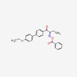 CCSc1ccc(-c2ccc(C(=O)C(CC)=NOC(=O)c3ccccc3)cc2)cc1